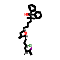 C=C(I)[C@H](C)C[C@@H](Cl)CC[C@@H]1O[C@@H](CCCCC(C)(C)[Si](O)(c2ccccc2)c2ccccc2)CC1=C